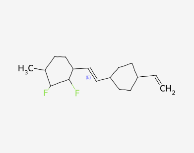 C=CC1CCC(/C=C/C2CCC(C)C(F)C2F)CC1